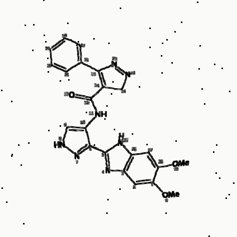 COc1cc2nc(-c3n[nH]cc3NC(=O)C3=C(c4ccccc4)N=NC3)[nH]c2cc1OC